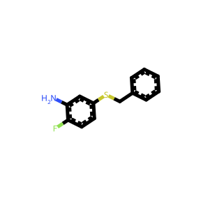 Nc1cc(SCc2ccccc2)ccc1F